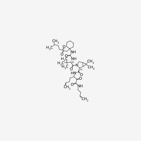 C=CCCNC(=O)C(=O)C(CCC=C)NC(=O)[C@@H]1C2C(CN1C(=O)[C@@H](NC(=O)NC1(CS(=O)(=O)CCC(C)C)CCCCC1)C(C)(C)C)C2(C)C